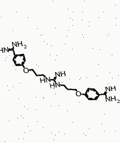 N=C(NCCCOc1ccc(C(=N)N)cc1)NCCCOc1ccc(C(=N)N)cc1